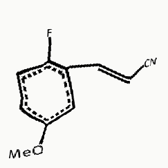 COc1ccc(F)c(/C=C/C#N)c1